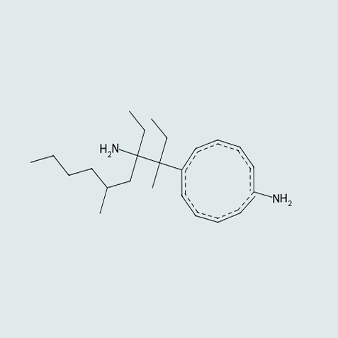 CCCCC(C)CC(N)(CC)C(C)(CC)c1ccccc(N)cccc1